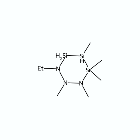 CCN1[SiH2][SiH](C)[Si](C)(C)N(C)N1C